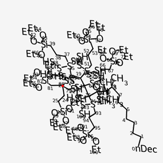 CCCCCCCCCCCCCCCCCC(C)C(C)(C)C(C)(C)C(C)(C(C(=C(S(S)(CCC[Si](OCC)(OCC)OCC)SS)S(S)(CCC[Si](OCC)(OCC)OCC)SS)S(S)(CCC[Si](OCC)(OCC)OCC)SS)(S(S)(CCC[Si](OCC)(OCC)OCC)SS)S(S)(CCC[Si](OCC)(OCC)OCC)SS)S(S)(CCC[Si](OCC)(OCC)OCC)SS